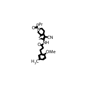 CCCC(=O)N1CCc2c(sc(NC(=O)CCc3cc(C)ccc3OC)c2C#N)C1